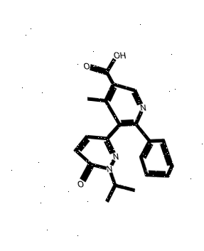 Cc1c(C(=O)O)cnc(-c2ccccc2)c1-c1ccc(=O)n(C(C)C)n1